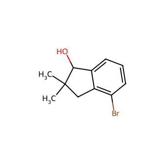 CC1(C)Cc2c(Br)cccc2C1O